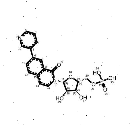 O=c1c2cc(-c3cccnc3)ccc2ccn1[C@@H]1O[C@H](COP(=O)(O)O)[C@H](O)[C@H]1O